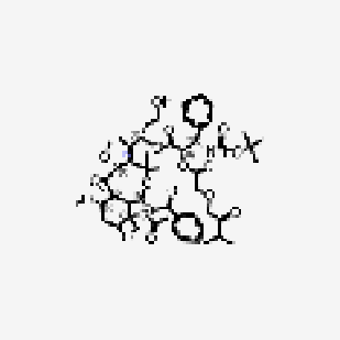 CO[C@H]1CC2OC[C@@]2(OC(C)=O)C2[C@H](OC(=O)c3ccccc3)CC(C)(C)/C(=C(/C)[C@H](CCO)OC(=O)[C@H](OC(=O)COCC(=O)C(C)C)[C@@H](NC(=O)OC(C)(C)C)c3ccccc3)[C@@H](OC)C(=O)[C@@]21C